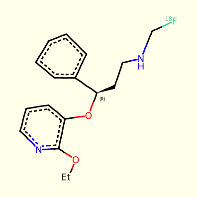 CCOc1ncccc1O[C@H](CCNC[18F])c1ccccc1